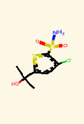 CC(C)(O)c1cc(Cl)c(S(N)(=O)=O)s1